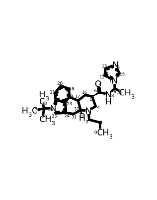 CCCN1C[C@H](C(=O)NC(C)n2ccnc2)CC2c3cccc4c3c(cn4C(C)(C)C)C[C@H]21